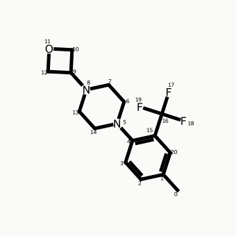 Cc1ccc(N2CCN(C3COC3)CC2)c(C(F)(F)F)c1